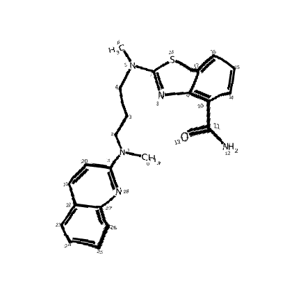 CN(CCCN(C)c1nc2c(C(N)=O)c[c]cc2s1)c1ccc2ccccc2n1